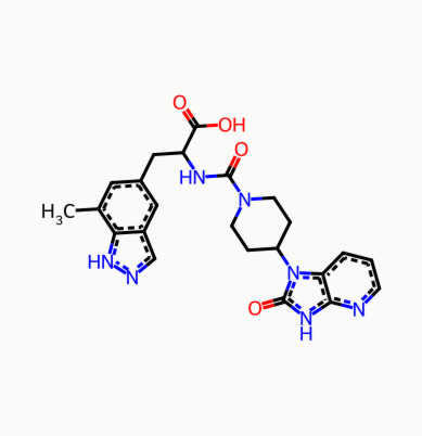 Cc1cc(CC(NC(=O)N2CCC(n3c(=O)[nH]c4ncccc43)CC2)C(=O)O)cc2cn[nH]c12